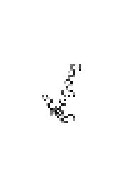 N#Cc1ccc(-c2ccc(-c3ccc(-c4ccc(-c5cc6c(sc7ccc8ccccc8c76)c6nc7cc8cc9ccccc9cc8cc7n56)cc4)c4ccccc34)cc2)cc1